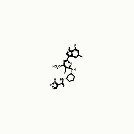 O=C(N[C@H]1CCC[C@@H](Nc2nc(-c3c[nH]c4c(F)cc(F)cc34)nc(C(=O)O)c2F)C1)c1cnn[nH]1